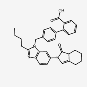 CCCCc1nc2ccc(N3C=C4CCCCC4C3=O)cc2n1Cc1ccc(-c2ccccc2C(=O)O)cc1